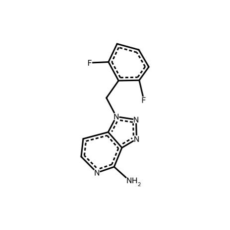 Nc1nccc2c1nnn2Cc1c(F)cccc1F